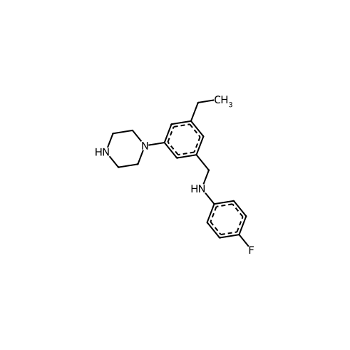 CCc1cc(CNc2ccc(F)cc2)cc(N2CCNCC2)c1